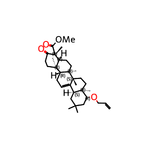 C=CCO[C@@H]1CC(C)(C)C[C@H]2C3=CC[C@@H]4[C@@]5(C)CCC(=O)[C@](C)(C(=O)OC)[C@@H]5CC[C@@]4(C)[C@]3(C)CC[C@@]12C